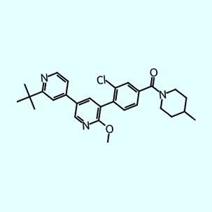 COc1ncc(-c2ccnc(C(C)(C)C)c2)cc1-c1ccc(C(=O)N2CCC(C)CC2)cc1Cl